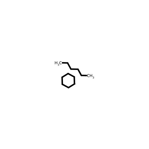 CCCCCC.[CH]1CCCCC1